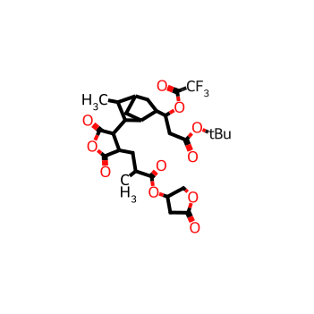 CC(CC1C(=O)OC(=O)C1C1C(C)C2CC(C(CC(=O)OC(C)(C)C)OC(=O)C(F)(F)F)C1C2)C(=O)OC1COC(=O)C1